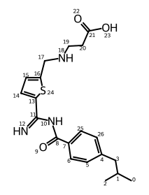 CC(C)Cc1ccc(C(=O)NC(=N)c2ccc(CNCCC(=O)O)s2)cc1